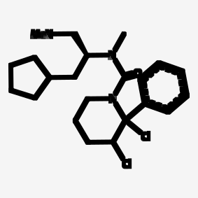 CNC[C@H](CC1CCCC1)N(C)C(=O)N1CCCC(Cl)C1(Cl)c1ccccc1